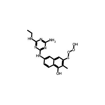 CCNc1nc(N)nc(Nc2ccc3c(O)c(C)c(SOOO)cc3c2)n1